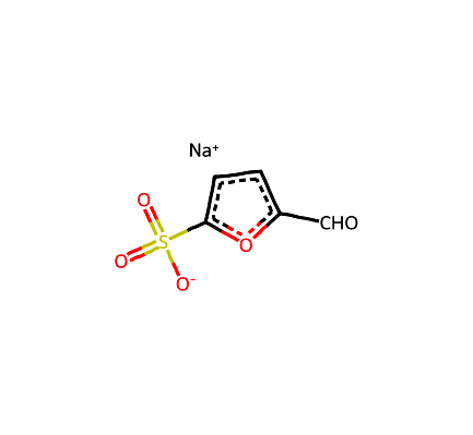 O=Cc1ccc(S(=O)(=O)[O-])o1.[Na+]